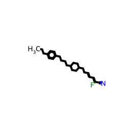 CCCc1ccc(CCCCC2CCC(CCC=CC=C(F)C#N)CC2)cc1